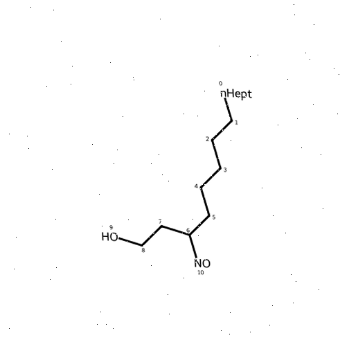 CCCCCCCCCCCCC(CCO)N=O